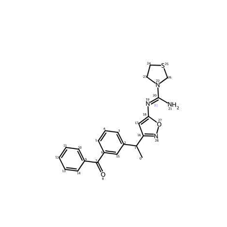 CC(c1cccc(C(=O)c2ccccc2)c1)c1cc(/N=C(\N)N2CCSC2)on1